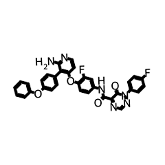 Nc1nccc(Oc2ccc(NC(=O)c3ncnn(-c4ccc(F)cc4)c3=O)cc2F)c1-c1ccc(Oc2ccccc2)cc1